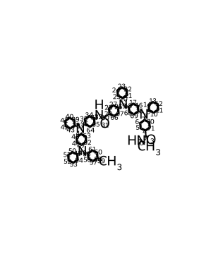 CNC(=O)c1ccc(N(c2ccccc2)c2ccc(N(c3ccccc3)c3ccc(C(=O)Nc4ccc(N(c5ccccc5)c5ccc(N(c6ccccc6)c6ccc(C)cc6)cc5)cc4)cc3)cc2)cc1